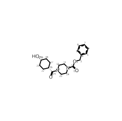 O=C(OCc1ccccc1)N1CCN(C(=O)[C@H]2CC[C@@H](O)CC2)CC1